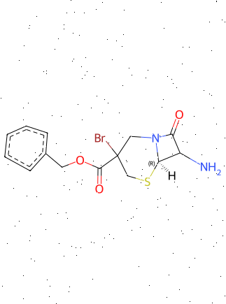 NC1C(=O)N2CC(Br)(C(=O)OCc3ccccc3)CS[C@H]12